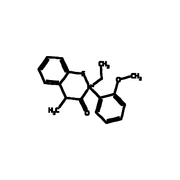 CC[N+]1(c2ccccc2OC)Sc2ccccc2C(C)C1=O